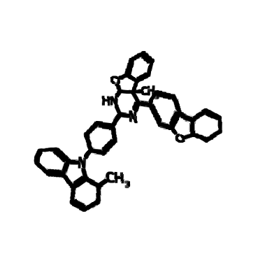 CC1CC=Cc2c1n(C1C=CC(C3N=C(c4ccc5c(c4)OC4CCC=CC54)C4(C)c5ccccc5OC4N3)=CC1)c1ccccc21